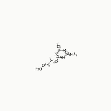 COOCCOc1cc(Cl)nc(N)n1